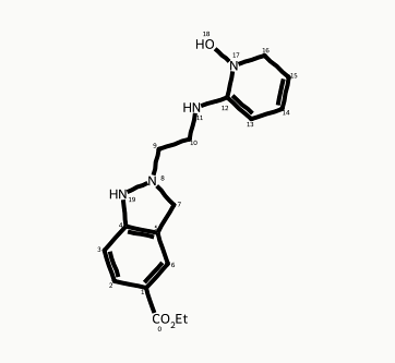 CCOC(=O)c1ccc2c(c1)CN(CCNC1=CC=CCN1O)N2